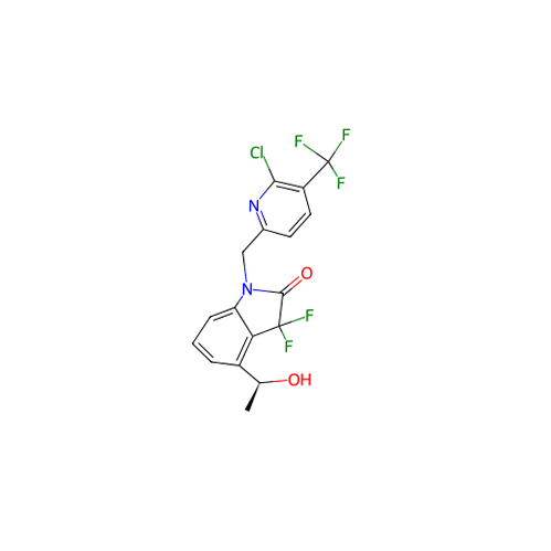 C[C@H](O)c1cccc2c1C(F)(F)C(=O)N2Cc1ccc(C(F)(F)F)c(Cl)n1